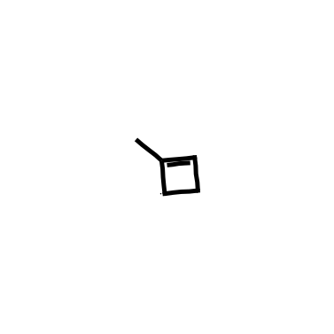 CC1=CC[CH]1